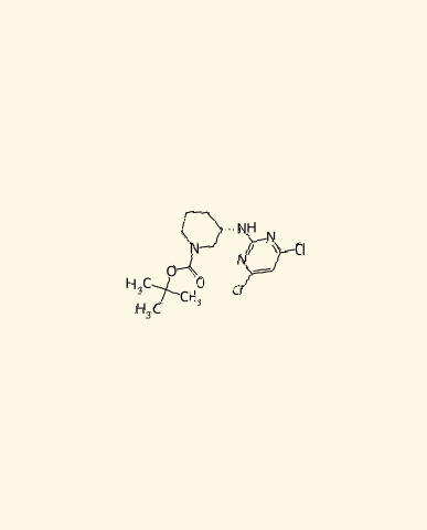 CC(C)(C)OC(=O)N1CCC[C@H](Nc2nc(Cl)cc(Cl)n2)C1